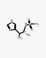 CC(=O)[C@@H](NS(C)(=O)=O)C(C)c1c[nH]cn1